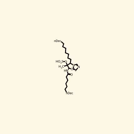 CCCCCCCCCCCCCCCCCC(N1C=NCC1)C(C)(OS(=O)(=O)O)C(C)NC(=O)CCCCCCCCCCCCCCC